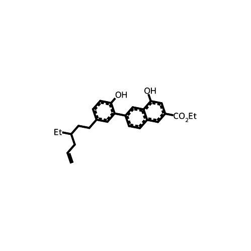 C=CCC(CC)CCc1ccc(O)c(-c2ccc3cc(C(=O)OCC)cc(O)c3c2)c1